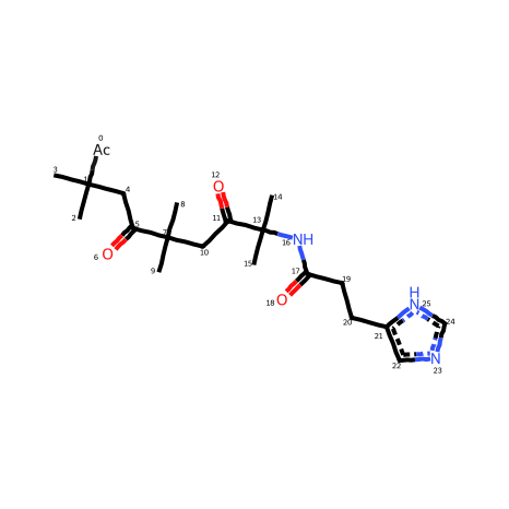 CC(=O)C(C)(C)CC(=O)C(C)(C)CC(=O)C(C)(C)NC(=O)CCc1cnc[nH]1